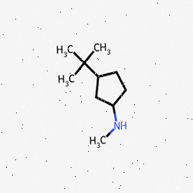 CNC1CCC(C(C)(C)C)C1